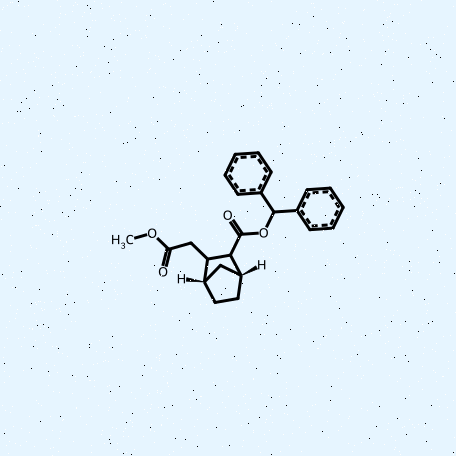 COC(=O)CC1C(C(=O)OC(c2ccccc2)c2ccccc2)[C@@H]2CC[C@H]1C2